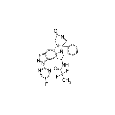 CC(F)(F)C(=O)NC1CCN(C2(c3ccccc3)C=NC(=O)CN2c2ccc3c(cnn3-c3ncc(F)cn3)c2)C1